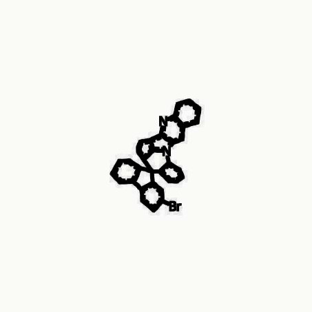 Brc1ccc2c(c1)C1(c3ccccc3-2)c2ccccc2-n2c3cc4ccccc4nc3c3cccc1c32